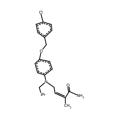 C[C](C)CN(CC=C(C)C(N)=O)c1ccc(OCc2ccc(Cl)cc2)cc1